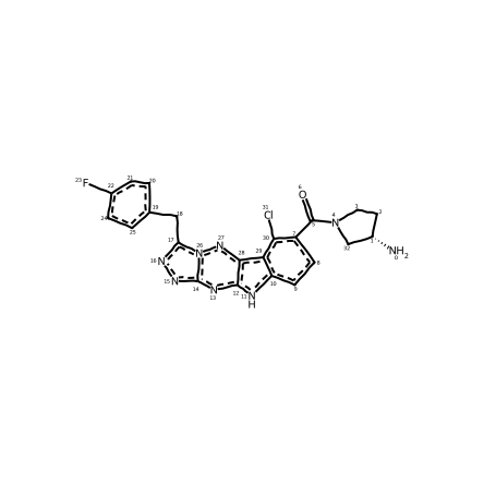 N[C@H]1CCN(C(=O)c2ccc3[nH]c4nc5nnc(Cc6ccc(F)cc6)n5nc4c3c2Cl)C1